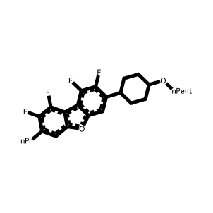 CCCCCOC1CCC(c2cc3oc4cc(CCC)c(F)c(F)c4c3c(F)c2F)CC1